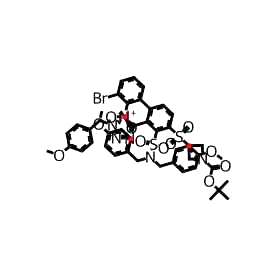 COc1ccc(CN(Cc2ccc(OC)cc2)S(=O)(=O)c2c(S(=O)(=O)C3CN(C(=O)OC(C)(C)C)C3)ccc(-c3cccc(Br)c3[N+](=O)[O-])c2-c2nnn(Cc3ccc(OC)cc3)n2)cc1